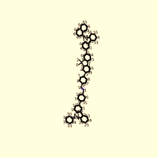 CC1(C)c2cc(-c3ccc(/C=C/c4ccc(-c5ccc6c(c5)c5ccccc5n6-c5ccccc5)cc4)cc3)ccc2-c2ccc(-c3ccc4c(c3)c3ccccc3n4-c3cccc4ccccc34)cc21